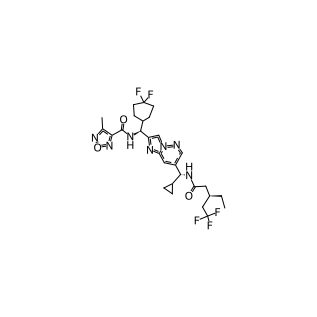 CC[C@H](CC(=O)N[C@@H](c1cnn2cc([C@@H](NC(=O)c3nonc3C)C3CCC(F)(F)CC3)nc2c1)C1CC1)CC(F)(F)F